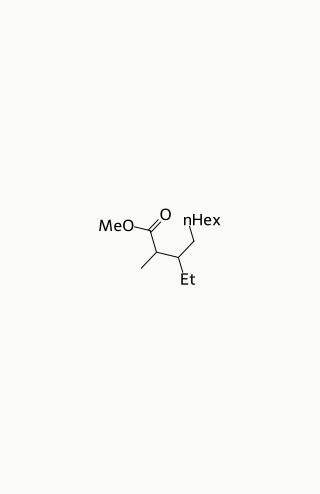 CCCCCCCC(CC)C(C)C(=O)OC